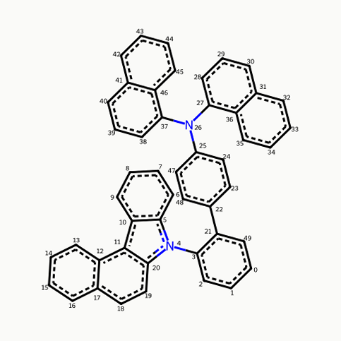 c1ccc(-n2c3ccccc3c3c4ccccc4ccc32)c(-c2ccc(N(c3cccc4ccccc34)c3cccc4ccccc34)cc2)c1